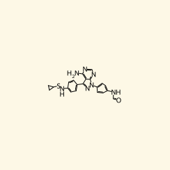 Nc1ncnc2c1c(-c1ccc(NSC3CC3)cc1)nn2-c1ccc(NC=O)cc1